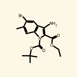 CCOC(=O)c1c(N)c2cc(Br)c(C)cc2n1C(=O)OC(C)(C)C